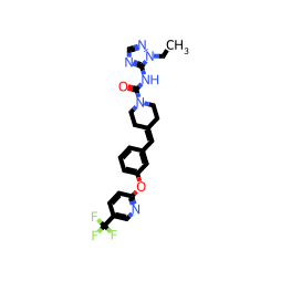 CCn1ncnc1NC(=O)N1CCC(=Cc2cccc(Oc3ccc(C(F)(F)F)cn3)c2)CC1